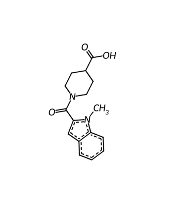 Cn1c(C(=O)N2CCC(C(=O)O)CC2)cc2ccccc21